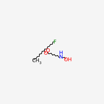 CCCCCCCCC(CCCCCCCF)OC(=O)CCCCCCCNCCO